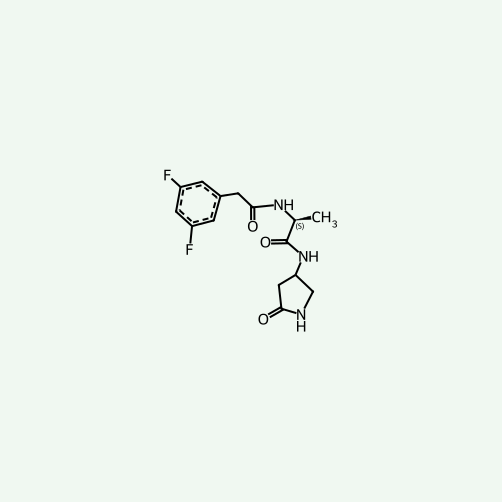 C[C@H](NC(=O)Cc1cc(F)cc(F)c1)C(=O)NC1CNC(=O)C1